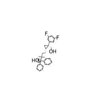 CC(C)(CC[C@@H]1C[C@@]1(CO)c1cc(F)cc(F)c1)[Si](O)(c1ccccc1)c1ccccc1